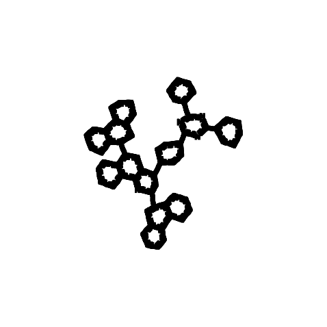 c1ccc(-c2nc(-c3ccccc3)nc(-c3ccc(-c4cc(-c5cc6ccccc6c6ccccc56)nc5c4cc(-c4cc6ccccc6c6ccccc46)c4ccccc45)cc3)n2)cc1